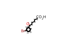 O=C(O)CCCCCC(=O)c1cccc(Br)c1